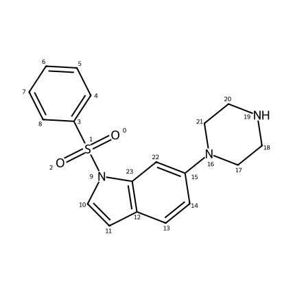 O=S(=O)(c1ccccc1)n1ccc2ccc(N3CCNCC3)cc21